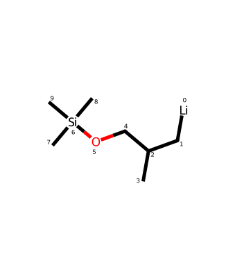 [Li][CH2]C(C)CO[Si](C)(C)C